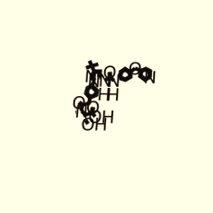 CN(C(=O)Cc1ccc(-n2nc(C(C)(C)C)cc2NC(=O)Nc2ccc(Oc3ccncc3)cc2)cc1)[C@@H](CO)C(=O)O